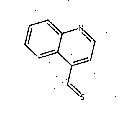 S=Cc1ccnc2ccccc12